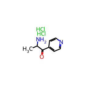 CC(N)C(=O)c1ccncc1.Cl.Cl